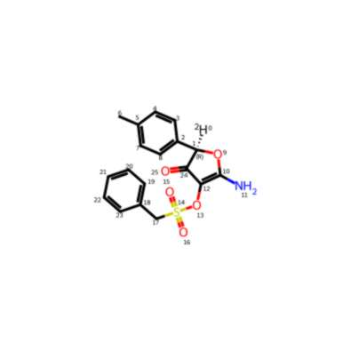 [2H][C@]1(c2ccc(C)cc2)OC(N)=C(OS(=O)(=O)Cc2ccccc2)C1=O